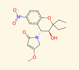 CCC1(CC)Oc2ccc([N+](=O)[O-])cc2[C@@H](N2CC(OC)=CC2=O)[C@@H]1O